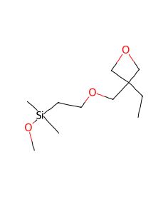 CCC1(COCC[Si](C)(C)OC)COC1